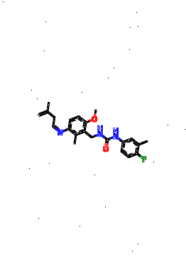 C=C(C)C/C=N\c1ccc(OC)c(CNC(=O)Nc2ccc(F)c(C)c2)c1C